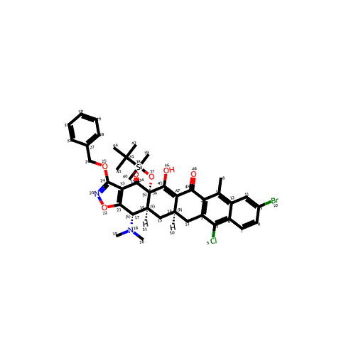 Cc1c2c(c(Cl)c3ccc(Br)cc13)C[C@H]1C[C@H]3[C@H](N(C)C)c4onc(OCc5ccccc5)c4C(=O)[C@@]3(O[Si](C)(C)C(C)(C)C)C(O)=C1C2=O